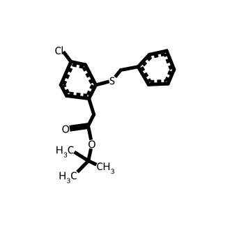 CC(C)(C)OC(=O)Cc1ccc(Cl)cc1SCc1ccccc1